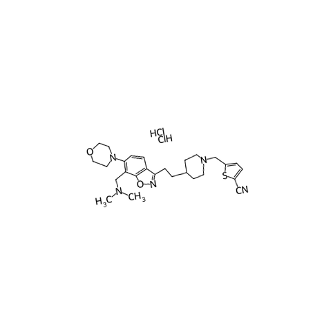 CN(C)Cc1c(N2CCOCC2)ccc2c(CCC3CCN(Cc4ccc(C#N)s4)CC3)noc12.Cl.Cl